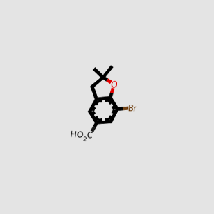 CC1(C)Cc2cc(C(=O)O)cc(Br)c2O1